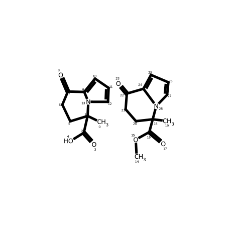 CC1(C(=O)O)CCC(=O)c2cccn21.COC(=O)C1(C)CCC(=O)c2cccn21